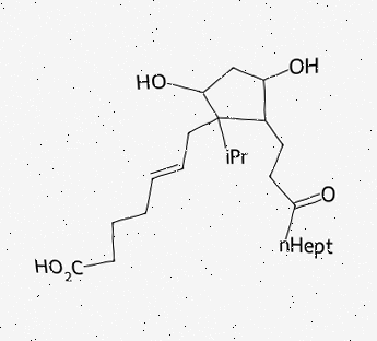 CCCCCCCC(=O)CCC1C(O)CC(O)C1(CC=CCCCC(=O)O)C(C)C